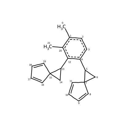 Cc1ccc(C2CC23C=CC=C3)c(C2CC23C=CC=C3)c1C